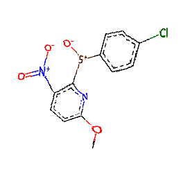 COc1ccc([N+](=O)[O-])c([S+]([O-])c2ccc(Cl)cc2)n1